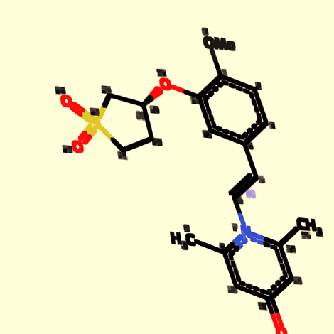 COc1ccc(/C=C/n2c(C)cc(=O)cc2C)cc1O[C@H]1CCS(=O)(=O)C1